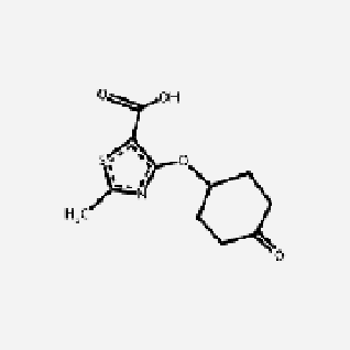 Cc1nc(OC2CCC(=O)CC2)c(C(=O)O)s1